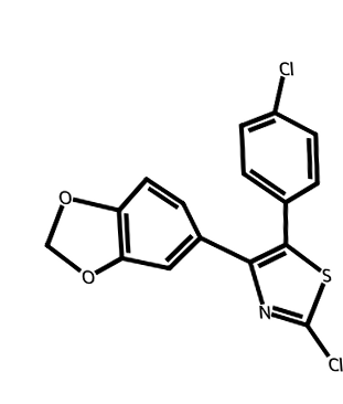 Clc1ccc(-c2sc(Cl)nc2-c2ccc3c(c2)OCO3)cc1